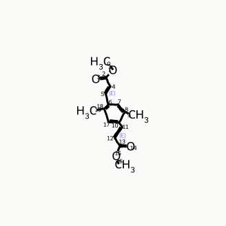 COC(=O)/C=C/c1cc(C)c(/C=C/C(=O)OC)cc1C